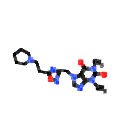 Cn1c(=O)c2c(ncn2Cc2noc(CCN3CCCCC3)n2)n(C)c1=O